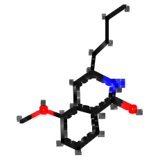 CCCCc1cc2c(OC)cccc2c(=O)[nH]1